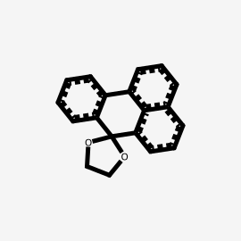 c1ccc2c(c1)-c1cccc3cccc(c13)C21OCCO1